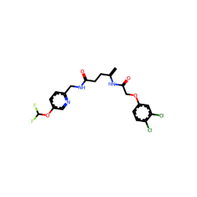 C=C(CCC(=O)NCc1ccc(OC(F)F)cn1)NC(=O)COc1ccc(Cl)c(Cl)c1